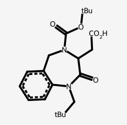 CC(C)(C)CN1C(=O)C(CC(=O)O)N(C(=O)OC(C)(C)C)Cc2ccccc21